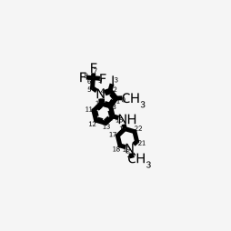 Cc1c(I)n(CC(F)(F)F)c2cccc(NC3CCN(C)CC3)c12